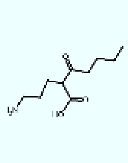 CCCCC(=O)C(CCCN)C(=O)O